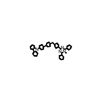 C=N/C(=N\C(=N/Cc1ccccc1)c1ccc(Cc2ccc(-c3ccc(-n4c5ccccc5c5ccccc54)cc3)cc2)cc1)c1ccccc1